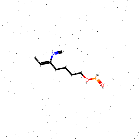 C=N/C(=C\C)CCCCOP=O